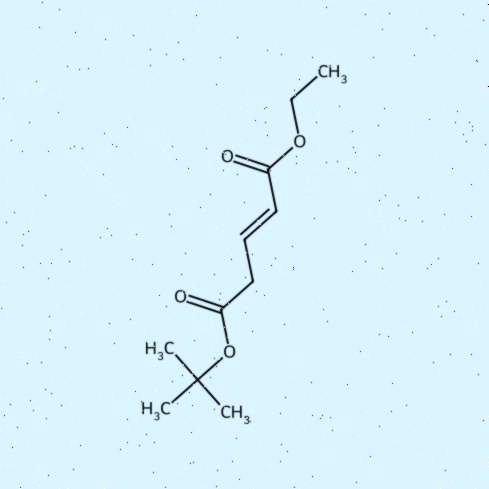 CCOC(=O)/C=C/CC(=O)OC(C)(C)C